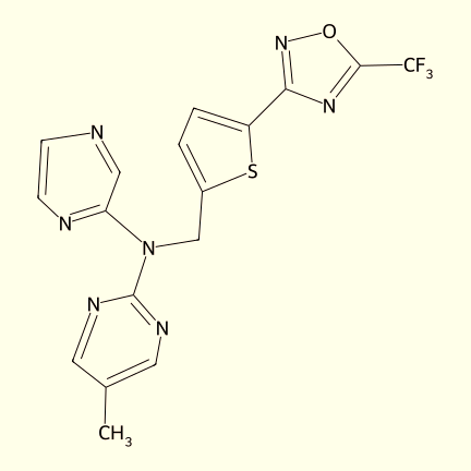 Cc1cnc(N(Cc2ccc(-c3noc(C(F)(F)F)n3)s2)c2cnccn2)nc1